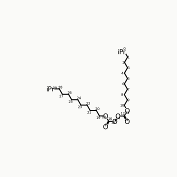 CC(C)CCCCCCCCCCOC(=O)OOC(=O)OCCCCCCCCCCC(C)C